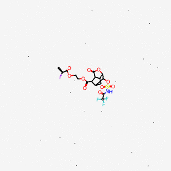 C=C(I)C(=O)OCCOC(=O)C1C2CC3C(OC(=O)C31)C2OS(=O)(=O)NC(=O)C(F)(F)F